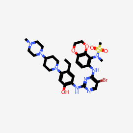 CCc1cc(Nc2ncc(Br)c(Nc3ccc4c(c3N(C)S(C)(=O)=O)OCCO4)n2)c(O)cc1N1CCC(N2CCN(C)CC2)CC1